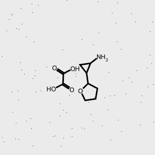 NC1CC1C1CCCO1.O=C(O)C(=O)O